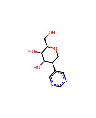 OC[C@H]1OC[C@@H](c2cncnc2)[C@@H](O)[C@H]1O